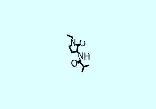 CCN1CCC(NC(=O)C(C)C)C1=O